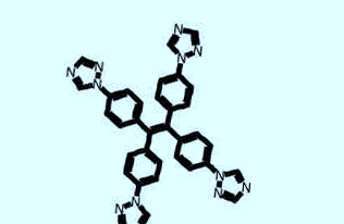 c1ncn(-c2ccc(C(=C(c3ccc(-n4cncn4)cc3)c3ccc(-n4cncn4)cc3)c3ccc(-n4cncn4)cc3)cc2)n1